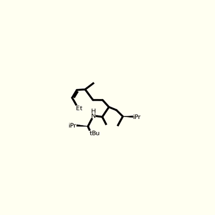 CC/C=C\C(C)CCC(C[C@H](C)C(C)C)C(C)N[C@H](C(C)C)C(C)(C)C